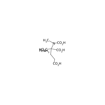 CN(C(=O)O)C(CCC(=O)O)(C(=O)O)C(=O)O.N.[Fe]